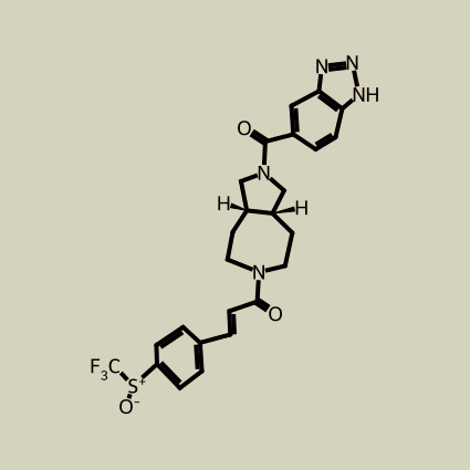 O=C(C=Cc1ccc([S+]([O-])C(F)(F)F)cc1)N1CC[C@@H]2CN(C(=O)c3ccc4[nH]nnc4c3)C[C@@H]2CC1